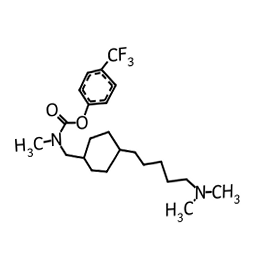 CN(C)CCCCCC1CCC(CN(C)C(=O)Oc2ccc(C(F)(F)F)cc2)CC1